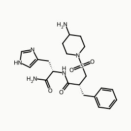 NC(=O)[C@H](Cc1c[nH]cn1)NC(=O)[C@@H](Cc1ccccc1)CS(=O)(=O)N1CCC(N)CC1